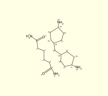 NC(=O)CCCCC(N)=O.NC1CCC(CC2CCC(N)CC2)CC1